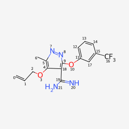 C=CCOc1c(C)nnc(Oc2cccc(C(F)(F)F)c2)c1C(=N)N